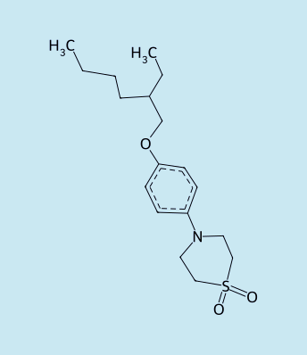 CCCCC(CC)COc1ccc(N2CCS(=O)(=O)CC2)cc1